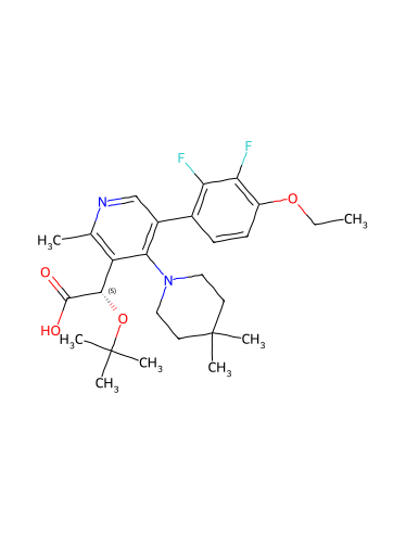 CCOc1ccc(-c2cnc(C)c([C@H](OC(C)(C)C)C(=O)O)c2N2CCC(C)(C)CC2)c(F)c1F